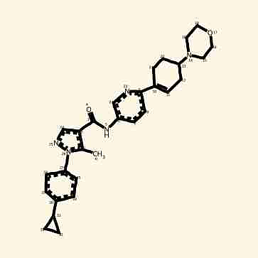 Cc1c(C(=O)Nc2ccc(C3=CCC(N4CCOCC4)CC3)nc2)cnn1-c1ccc(C2CC2)cc1